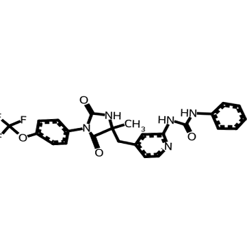 CC1(Cc2ccnc(NC(=O)Nc3ccccc3)c2)NC(=O)N(c2ccc(OC(F)(F)F)cc2)C1=O